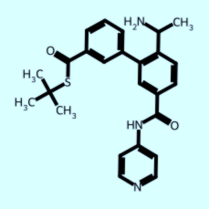 CC(N)c1ccc(C(=O)Nc2ccncc2)cc1-c1cccc(C(=O)SC(C)(C)C)c1